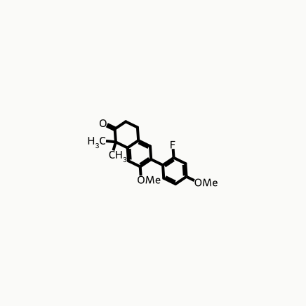 COc1ccc(-c2cc3c(cc2OC)C(C)(C)C(=O)CC3)c(F)c1